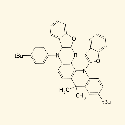 CC(C)(C)c1ccc(N2c3ccc4c5c3B(c3oc6ccccc6c32)c2c(oc3ccccc23)N5c2ccc(C(C)(C)C)cc2C4(C)C)cc1